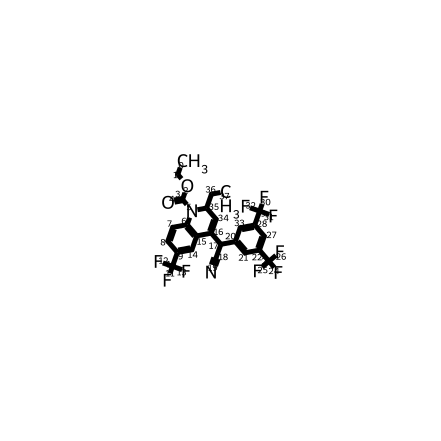 CCOC(=O)N1c2ccc(C(F)(F)F)cc2C(C(C#N)c2cc(C(F)(F)F)cc(C(F)(F)F)c2)=CC1CC